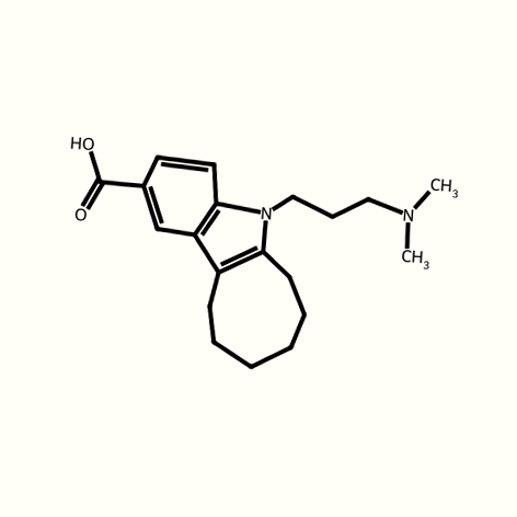 CN(C)CCCn1c2c(c3cc(C(=O)O)ccc31)CCCCCC2